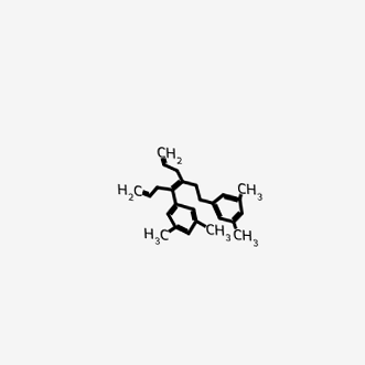 C=CCC(CCc1cc(C)cc(C)c1)=C(CC=C)c1cc(C)cc(C)c1